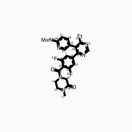 CCc1ncnc(-c2cc(F)c(C(=O)N3CCN(C)C(=O)C3)c(F)c2)c1-c1ccc(NC)nc1